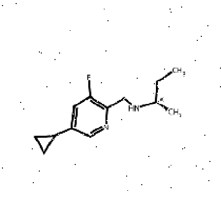 CC[C@@H](C)NCc1ncc(C2CC2)cc1F